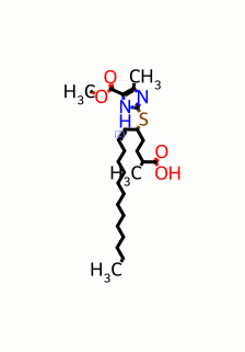 CCCCCCCCCCCC/C=C\C(CCC(C)C(=O)O)Sc1nc(C)c(C(=O)OC)[nH]1